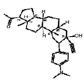 C#C[C@@]1(O)C[C@H]2CC[C@@H]3[C@H](CC[C@]4(C)[C@@H](C(C)=O)CC[C@@H]34)[C@@]2(C)CC1c1ccc(N(C)C)cc1